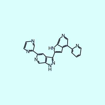 c1ccc(-c2cncc3[nH]c(-c4n[nH]c5cnc(-c6cnccn6)cc45)cc23)nc1